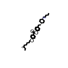 CCC/C=C/[C@H]1CC[C@H](CCc2ccc(OC(=O)c3ccc(OCCCCC[C@@H](C)CC)cc3)cc2)CC1